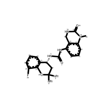 CCCC1(CCC)C[C@@H](NC(=O)Nc2cccc3c2CNC(=O)N3C)c2cccc(F)c2O1